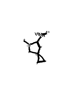 CN1CC2(CC2)CC1NF